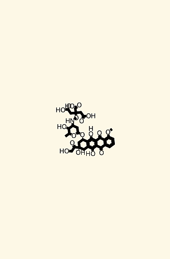 COc1cccc2c1C(=O)c1c(O)c3c(c(O)c1C2=O)C[C@@](O)(C(=O)CO)C[C@@H]3OC1CC(NOC(CC(=O)O)(CC(=O)O)C(=O)O)C(O)C(C)O1